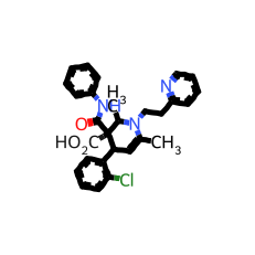 CC1=CC(c2ccccc2Cl)C(C(=O)O)(C(=O)Nc2ccccc2)C(C)N1CCc1ccccn1